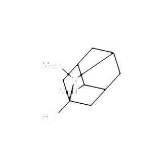 CNC1C2CC3CC1CC(C)(C2)N3OC